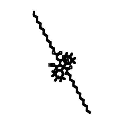 CCCCCCCCCCCCCOC(=O)CC(C(=O)O)C(C(=O)O)C(C(=O)OCCCCCCCCCCCCC)(C1CC(C)(C)N(C)C(C)(C)C1)C1CC(C)(C)N(C)C(C)(C)C1